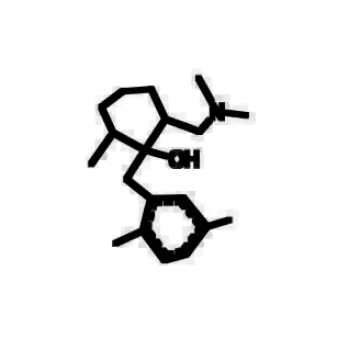 Cc1ccc(C)c(CC2(O)C(C)CCCC2CN(C)C)c1